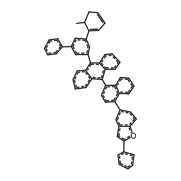 CC1CC=CC=C1c1cc(-c2ccccc2)cc(-c2c3ccccc3c(-c3ccc(-c4ccc5oc(-c6ccccc6)cc5c4)c4ccccc34)c3ccccc23)c1